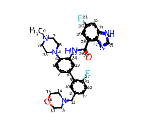 CN1CCN(c2ccc(-c3cc(CN4CCOCC4)ccc3F)cc2NC(=O)c2cc(F)cc3[nH]cnc23)CC1